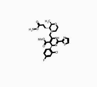 COC(=O)C1=C(CN2CCO[C@H](C)[C@H]2CCC(=O)ON)NC(c2nccs2)=N[C@H]1c1ccc(F)cc1Cl